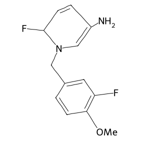 COc1ccc(CN2C=C(N)C=CC2F)cc1F